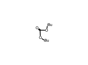 C[CH]C(C)OC(=O)OC(C)CC